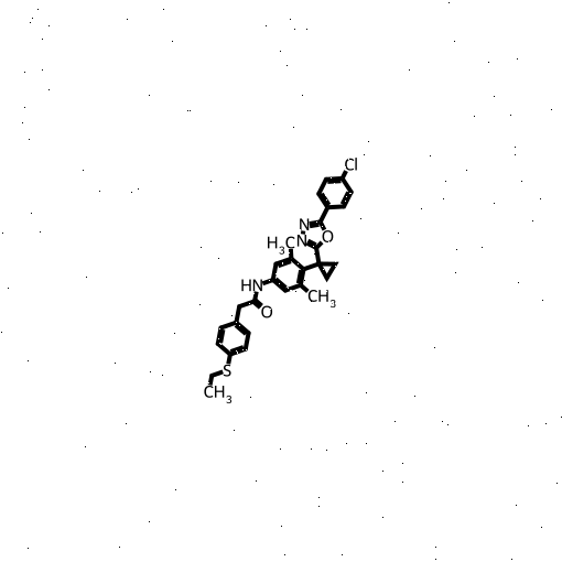 CCSc1ccc(CC(=O)Nc2cc(C)c(C3(c4nnc(-c5ccc(Cl)cc5)o4)CC3)c(C)c2)cc1